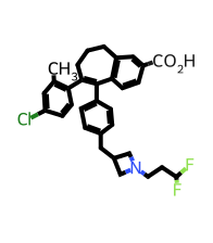 Cc1cc(Cl)ccc1C1=C(c2ccc(CC3CN(CCC(F)F)C3)cc2)c2ccc(C(=O)O)cc2CCC1